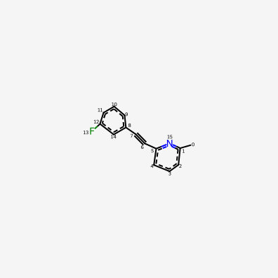 Cc1cccc(C#Cc2cccc(F)c2)n1